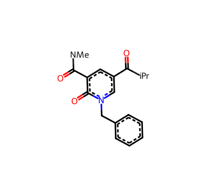 CNC(=O)c1cc(C(=O)C(C)C)cn(Cc2ccccc2)c1=O